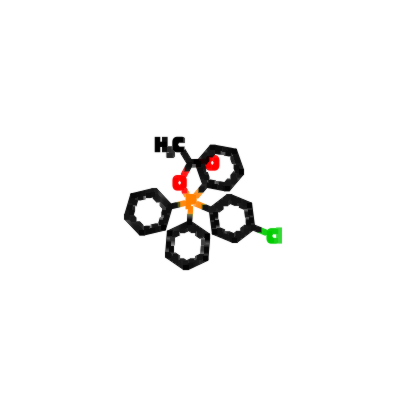 CC(=O)OP(c1ccccc1)(c1ccccc1)(c1ccccc1)c1ccc(Cl)cc1